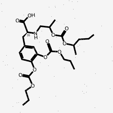 CCCOC(=O)Oc1ccc(C[C@H](NCC(C)OC(=O)OC(C)CCC)C(=O)O)cc1OC(=O)OCCC